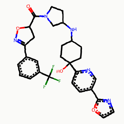 O=C(C1CC(c2cccc(C(F)(F)F)c2)=NO1)N1CCC(NC2CCC(O)(c3ccc(-c4ncco4)cn3)CC2)C1